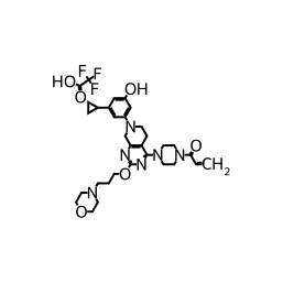 C=CC(=O)N1CCN(c2nc(OCCCN3CCOCC3)nc3c2CCN(c2cc(O)cc(C4CC4)c2)C3)CC1.O=C(O)C(F)(F)F